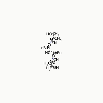 CCCCN(CCCC(C#N)CCN(CCCC)c1ccc(/C=C(\C#N)C(=O)OC(C)COC(C)CO)cc1)c1ccc(/C=C(\C#N)C(=O)OC(C)COC(C)CO)cc1